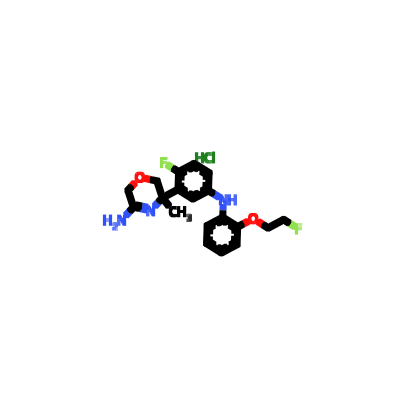 CC1(c2cc(Nc3ccccc3OCCF)ccc2F)COCC(N)=N1.Cl